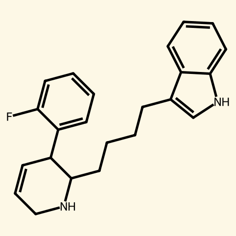 Fc1ccccc1C1C=CCNC1CCCCc1c[nH]c2ccccc12